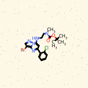 CN(CCNc1cc(-c2ccccc2Cl)nc2c(Br)cnn12)C(=O)OC(C)(C)C